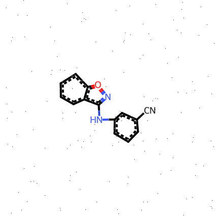 N#Cc1cccc(Nc2noc3ccccc23)c1